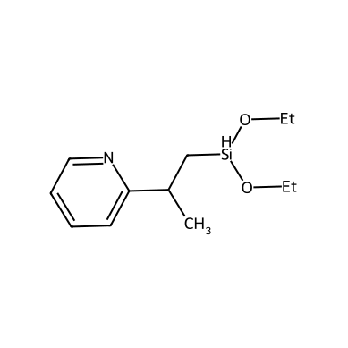 CCO[SiH](CC(C)c1ccccn1)OCC